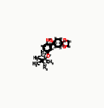 CC(C)(C)[Si](C)(C)Oc1cccc(C2(O)CCC3(CC2)OCCO3)c1